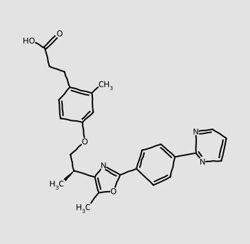 Cc1cc(OC[C@H](C)c2nc(-c3ccc(-c4ncccn4)cc3)oc2C)ccc1CCC(=O)O